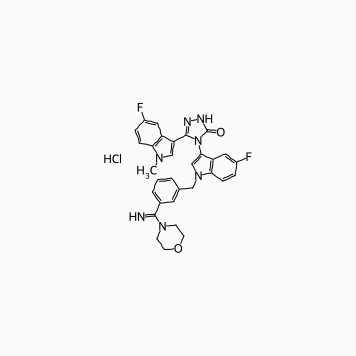 Cl.Cn1cc(-c2n[nH]c(=O)n2-c2cn(Cc3cccc(C(=N)N4CCOCC4)c3)c3ccc(F)cc23)c2cc(F)ccc21